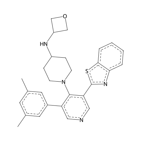 Cc1cc(C)cc(-c2cncc(-c3nc4ccccc4s3)c2N2CCC(NC3COC3)CC2)c1